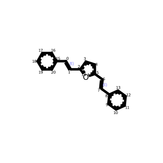 C(=C\c1ccc(/C=C/c2ccccc2)o1)/c1ccccc1